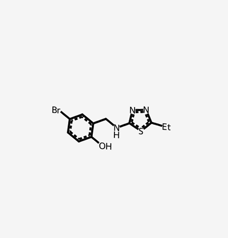 CCc1nnc(NCc2cc(Br)ccc2O)s1